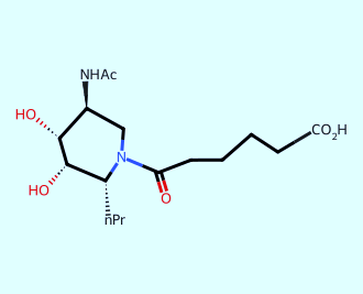 CCC[C@@H]1[C@H](O)[C@H](O)[C@@H](NC(C)=O)CN1C(=O)CCCCC(=O)O